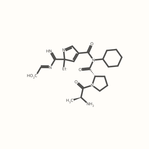 C[CH]C1(C(=N)N=CC(=O)O)C=C(C(=O)N(C(=O)[C@@H]2CCCN2C(=O)[C@H](C)N)C2CCCCC2)C=N1